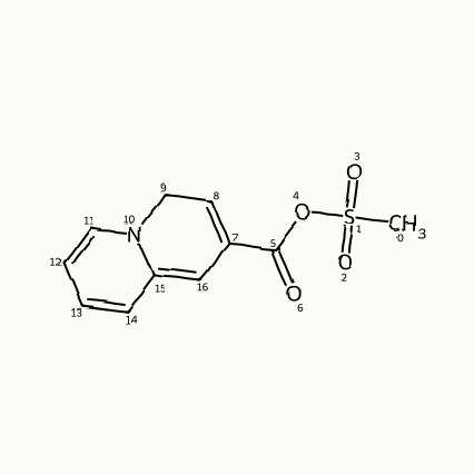 CS(=O)(=O)OC(=O)C1=CCN2C=CC=CC2=C1